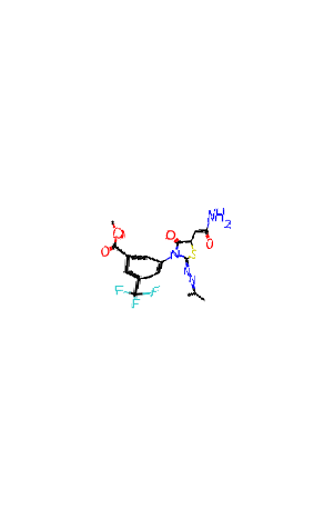 COC(=O)c1cc(N2C(=O)C(CC(N)=O)SC2=NN=C(C)C)cc(C(F)(F)F)c1